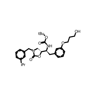 CC(C)c1cccc(CN2C[C@H]([C@H](Cc3cccc(OCCCO)c3)NC(=O)OC(C)(C)C)OC2=O)c1